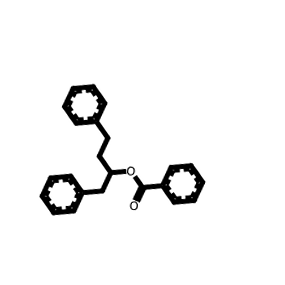 O=C(OC(CCc1ccccc1)Cc1ccccc1)c1ccccc1